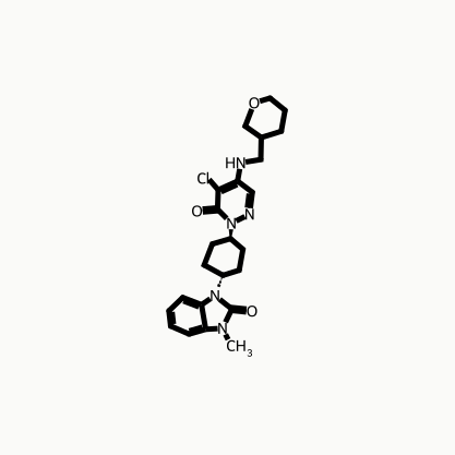 Cn1c(=O)n([C@H]2CC[C@H](n3ncc(NCC4CCCOC4)c(Cl)c3=O)CC2)c2ccccc21